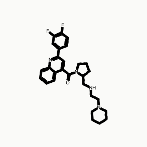 O=C(c1cc(-c2ccc(F)c(F)c2)nc2ccccc12)N1CCCC1CNCCN1CCCCC1